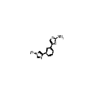 CC(C)n1cnc(-c2cccc(-c3csc(N)n3)c2)c1